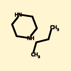 C1CNCCN1.CCCC